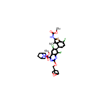 CC(C)(C)OC(=O)Nc1sc2c(F)ccc(-c3c(Cl)cc4c(N5CC6CCC(C5)N6C(=O)OC(C)(C)C)nc(OCC56COC(C5)C6)nc4c3F)c2c1C#N